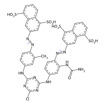 Cc1cc(Nc2nc(Cl)nc(Nc3ccc(/N=N/c4cc(S(=O)(=O)O)c5cccc(S(=O)(=O)O)c5c4)c(NC(N)=O)c3)n2)ccc1/N=N/c1cc(S(=O)(=O)O)c2cccc(S(=O)(=O)O)c2c1